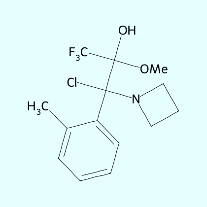 COC(O)(C(F)(F)F)C(Cl)(c1ccccc1C)N1CCC1